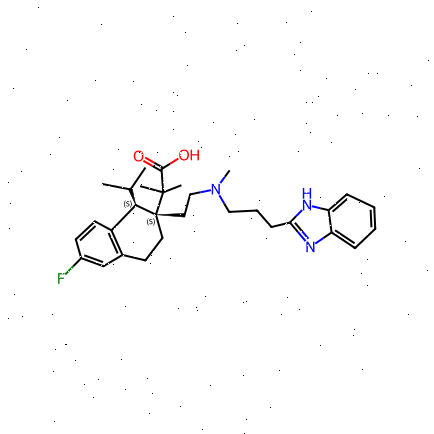 CC(C)[C@@H]1c2ccc(F)cc2CC[C@@]1(CCN(C)CCCc1nc2ccccc2[nH]1)C(C)(C)C(=O)O